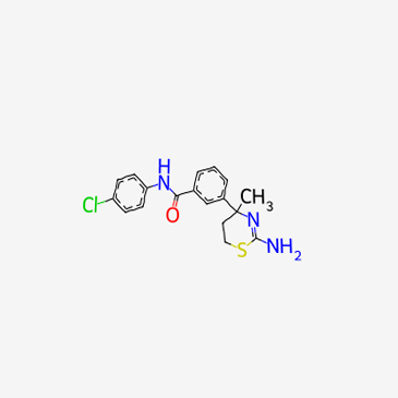 CC1(c2cccc(C(=O)Nc3ccc(Cl)cc3)c2)CCSC(N)=N1